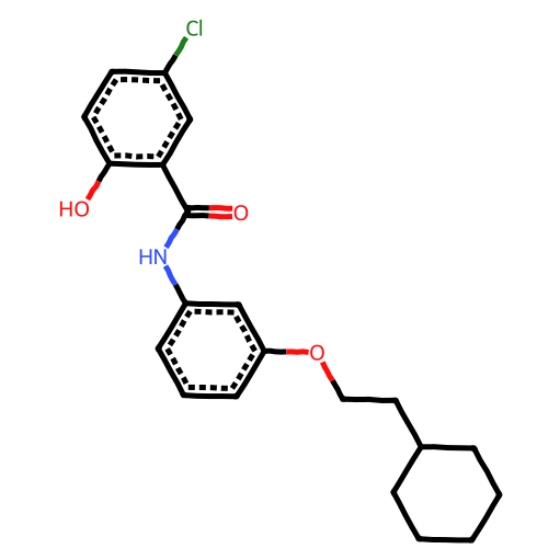 O=C(Nc1cccc(OCCC2CCCCC2)c1)c1cc(Cl)ccc1O